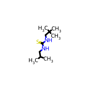 CC(C)CNC(=S)NCC(C)(C)C